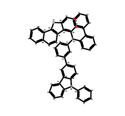 c1ccc(-c2ccccc2N(c2cccc(-c3ccc4c(c3)c3ccccc3n4-c3ccccc3)c2)c2cccc3oc4c5ccccc5ccc4c23)cc1